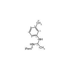 CCCC(C)NC(C)Nc1cccc(C)c1